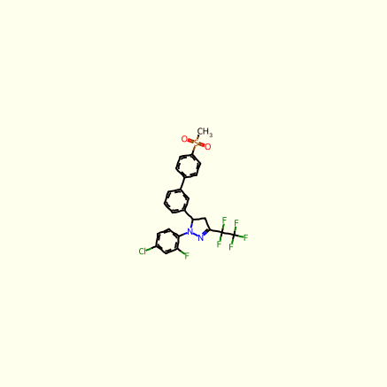 CS(=O)(=O)c1ccc(-c2cccc(C3CC(C(F)(F)C(F)(F)F)=NN3c3ccc(Cl)cc3F)c2)cc1